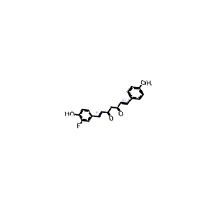 O=C(/C=C/c1ccc(O)cc1)CC(=O)/C=C/c1ccc(O)c(F)c1